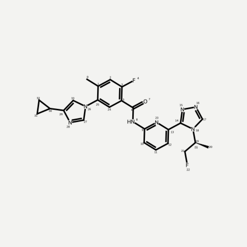 Cc1cc(F)c(C(=O)Nc2cccc(-c3nncn3[C@@H](C)CF)n2)cc1-n1cnc(C2CC2)c1